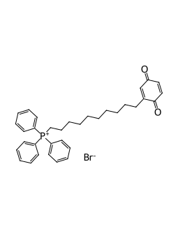 O=C1C=CC(=O)C(CCCCCCCCCC[P+](c2ccccc2)(c2ccccc2)c2ccccc2)=C1.[Br-]